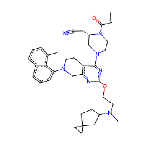 C=CC(=O)N1CCN(c2nc(OCCN(C)C3CCC4(CC4)C3)nc3c2CCN(c2cccc4cccc(C)c24)C3)C[C@@H]1CC#N